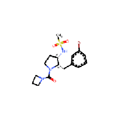 CS(=O)(=O)N[C@H]1CCN(C(=O)N2CCC2)[C@H]1Cc1cccc(Br)c1